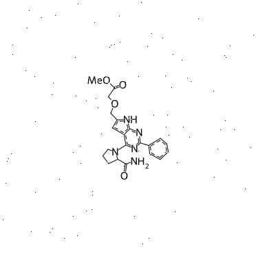 COC(=O)COCc1cc2c(N3CCCC3C(N)=O)nc(-c3ccccc3)nc2[nH]1